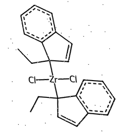 CC[C]1([Zr]([Cl])([Cl])[C]2(CC)C=Cc3ccccc32)C=Cc2ccccc21